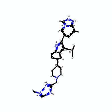 Cc1cc(-c2[nH]c3ccc(C4CCN(Cc5ncn(C)n5)CC4)cc3c2C(C)C)cn2cnnc12